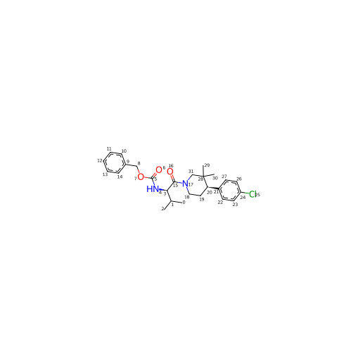 CC(C)[C@@H](NC(=O)OCc1ccccc1)C(=O)N1CC[C@H](c2ccc(Cl)cc2)C(C)(C)C1